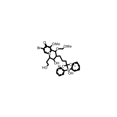 COCOC1c2c(OC)c(=O)c(Br)cn2C(CCO)C(O)C1CCCC(C)(C)[Si](O)(c1ccccc1)c1ccccc1